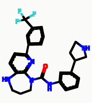 O=C(Nc1cccc(C2CCNC2)c1)N1CCCNc2ccc(-c3cccc(C(F)(F)F)c3)nc21